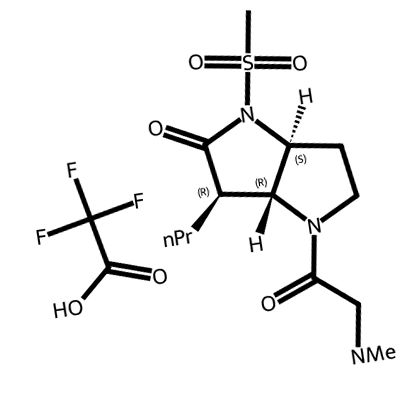 CCC[C@H]1C(=O)N(S(C)(=O)=O)[C@H]2CCN(C(=O)CNC)[C@H]12.O=C(O)C(F)(F)F